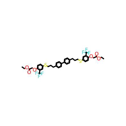 CCOC(=O)COc1ccc(SCCCc2ccc(-c3ccc(CCCSc4ccc(OCC(=O)OCC)c(C(F)(F)F)c4)cc3)cc2)cc1C(F)(F)F